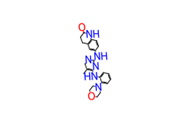 Cc1cnc(Nc2ccc3c(c2)CCC(=O)N3)nc1Nc1ccccc1N1CCOCC1